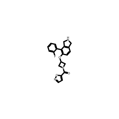 O=C(c1ccno1)N1CC(Oc2ccc3c(c2-c2ccccc2F)CNC3)C1